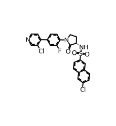 O=C1[C@@H](NS(=O)(=O)c2ccc3cc(Cl)ccc3c2)CCN1c1ccc(-c2ccncc2Cl)cc1F